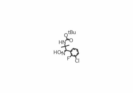 CC(C)(C)OC(=O)NC(C)(C)/C(=N\O)c1cccc(Cl)c1F